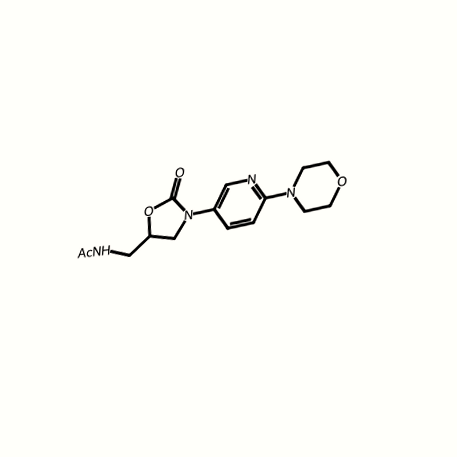 CC(=O)NCC1CN(c2ccc(N3CCOCC3)nc2)C(=O)O1